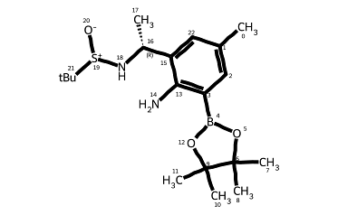 Cc1cc(B2OC(C)(C)C(C)(C)O2)c(N)c([C@@H](C)N[S+]([O-])C(C)(C)C)c1